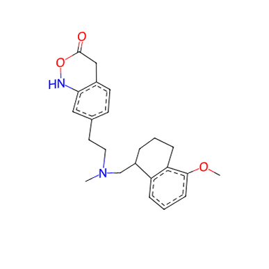 COc1cccc2c1CCCC2CN(C)CCc1ccc2c(c1)NOC(=O)C2